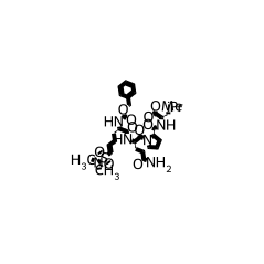 COC(=O)[C@H](CC(C)C)NC(=O)[C@@H]1CCCN1C(=O)[C@H](CCC(N)=O)NC(=O)[C@H](CC/C=C/S(=O)(=O)N(C)C)NC(=O)OCc1ccccc1